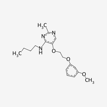 CCCCNc1nc(C)ncc1OCCOc1cccc(OC)c1